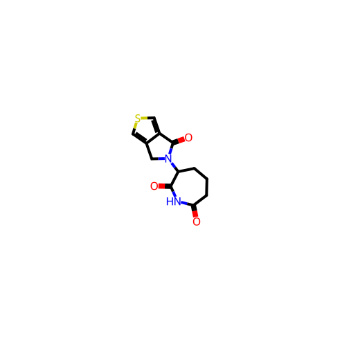 O=C1CCCC(N2Cc3cscc3C2=O)C(=O)N1